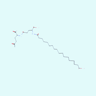 CC(=O)CCC(NC(=O)CCC(NC(=O)CCCCCCCCCCCCCCCCC(O)O)C(=O)O)C(=O)O